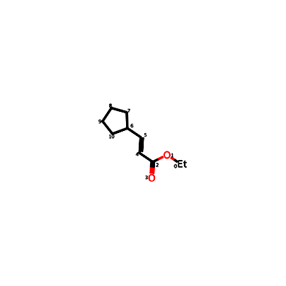 CCOC(=O)C=CC1CCCC1